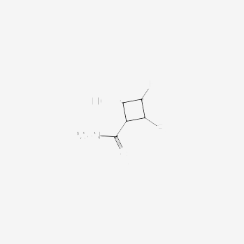 CNC(=O)C1CC(F)C1F.Cl